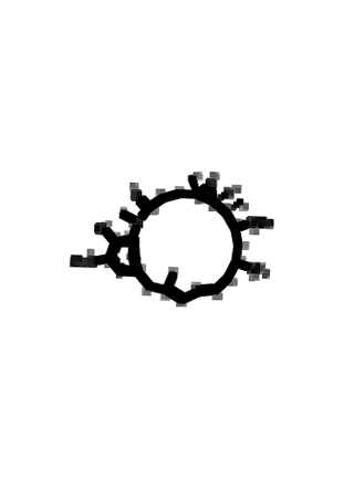 COc1cc2cc(c1Cl)N(C)C(=O)CC[C@]1(C)O[C@H]1[C@H](C)C(OC)CC(N)C/C=C/C=C(\C)C2